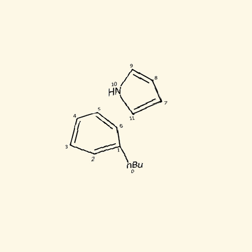 CCCCc1ccccc1.c1cc[nH]c1